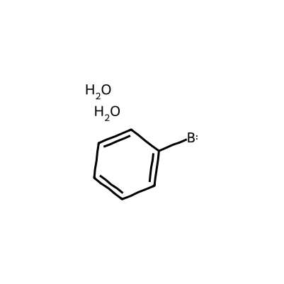 O.O.[B]c1ccccc1